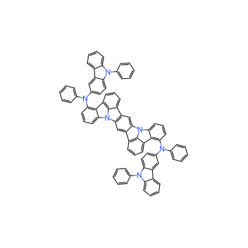 c1ccc(N(c2ccc3c(c2)c2ccccc2n3-c2ccccc2)c2cccc3c2c2cccc4c5cc6c(cc5n3c42)c2cccc3c4c(N(c5ccccc5)c5ccc7c(c5)c5ccccc5n7-c5ccccc5)cccc4n6c23)cc1